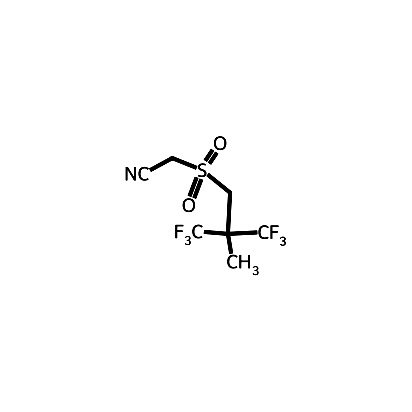 CC(CS(=O)(=O)CC#N)(C(F)(F)F)C(F)(F)F